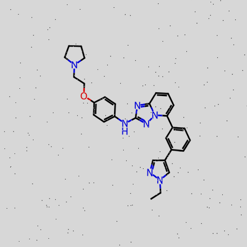 CCn1cc(-c2cccc(-c3cccc4nc(Nc5ccc(OCCN6CCCC6)cc5)nn34)c2)cn1